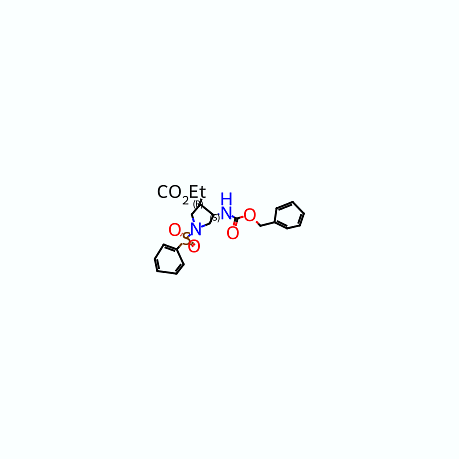 CCOC(=O)[C@@H]1CN(S(=O)(=O)c2ccccc2)C[C@H]1NC(=O)OCc1ccccc1